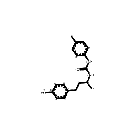 Cc1ccc(NC(=O)NC(C)CCc2ccc(O)cc2)cc1